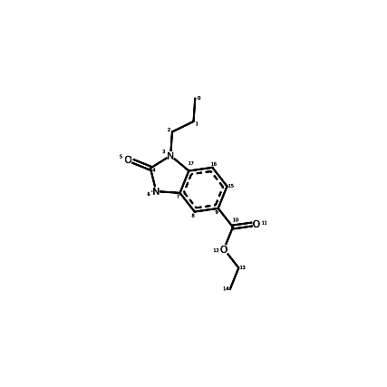 CCCN1C(=O)[N]c2cc(C(=O)OCC)ccc21